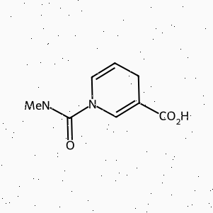 CNC(=O)N1C=CCC(C(=O)O)=C1